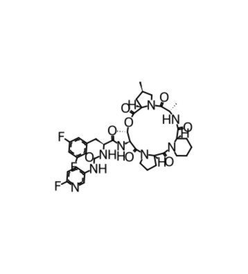 C[C@@H]1C[C@H]2C(=O)O[C@@H](C)[C@H](NC(=O)[C@H](Cc3cc(F)cc(F)c3)NC(=O)Nc3ccc(F)nc3)C(=O)N3CCC[C@H]3C(=O)N3CCCC[C@H]3C(=O)N[C@@H](C)C(=O)N2C1